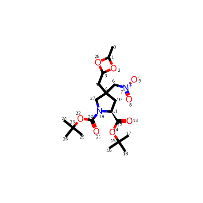 CC1OC(CC2(C[N+](=O)[O-])C[C@@H](C(=O)OC(C)(C)C)N(C(=O)OC(C)(C)C)C2)O1